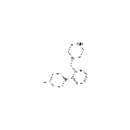 CC1CCN(c2ccccc2CN2CCNCC2)CC1